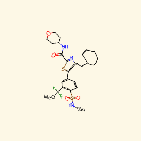 COC(F)(F)c1cc(-c2sc(C(=O)NC3CCOCC3)nc2CC2CCCCC2)ccc1S(=O)(=O)NC(C)(C)C